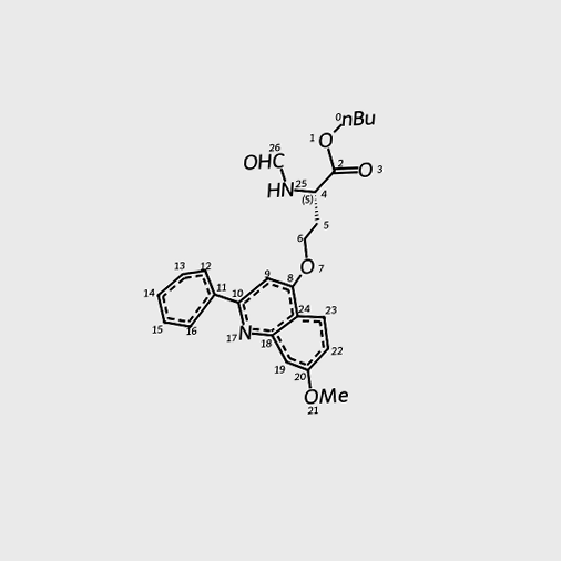 CCCCOC(=O)[C@H](CCOc1cc(-c2ccccc2)nc2cc(OC)ccc12)NC=O